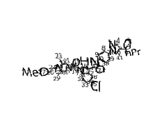 CCCC(=O)c1cnn(-c2ccc(NC(=O)c3cn(CC(=O)N4CC(C)N(CCOC)C(C)C4)c4ccc(Cl)cc34)cc2)c1C